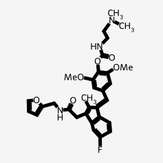 COc1cc(C=C2C(C)=C(CC(=O)NCc3ccco3)c3cc(F)ccc32)cc(OC)c1OC(=O)NCCN(C)C